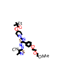 [C-]#[N+]c1c(C)nsc1/N=N/c1sc(N2CCC(OC(=O)C(C)(C)CC)CC2)nc1-c1ccc(OCCOCCOC)cc1